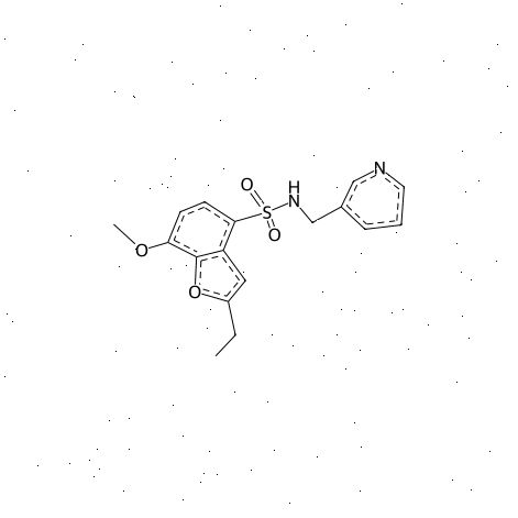 CCc1cc2c(S(=O)(=O)NCc3cccnc3)ccc(OC)c2o1